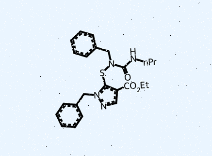 CCCNC(=O)N(Cc1ccccc1)Sc1c(C(=O)OCC)cnn1Cc1ccccc1